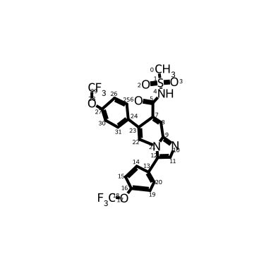 CS(=O)(=O)NC(=O)c1cc2ncc(-c3ccc(OC(F)(F)F)cc3)n2cc1-c1ccc(OC(F)(F)F)cc1